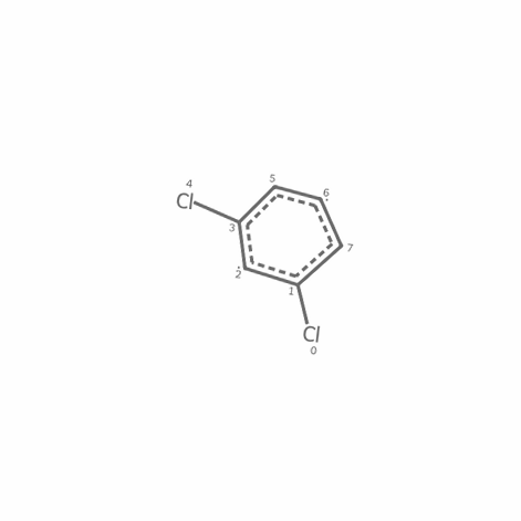 Clc1[c]c(Cl)c[c]c1